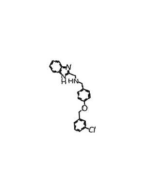 Clc1cccc(COc2ccc(CNCc3nc4ccccc4[nH]3)cc2)c1